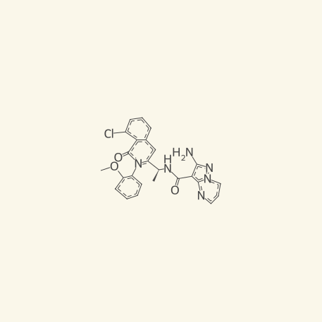 COc1ccccc1-n1c([C@H](C)NC(=O)c2c(N)nn3cccnc23)cc2cccc(Cl)c2c1=O